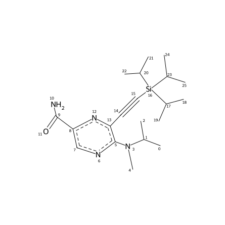 CC(C)N(C)c1ncc(C(N)=O)nc1C#C[Si](C(C)C)(C(C)C)C(C)C